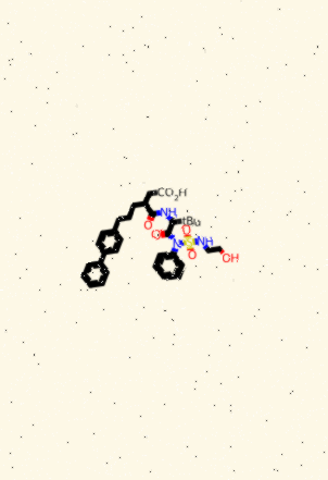 CC(C)(C)C(NC(=O)C(CCCc1ccc(-c2ccccc2)cc1)CC(=O)O)C(=O)N(c1ccccc1)S(=O)(=O)NCCO